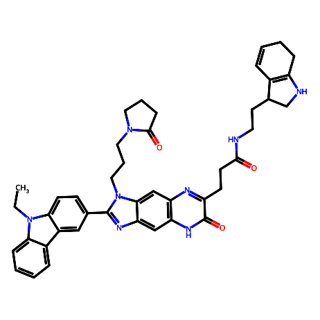 CCn1c2ccccc2c2cc(-c3nc4cc5[nH]c(=O)c(CCC(=O)NCCC6CNC7=C6C=CCC7)nc5cc4n3CCCN3CCCC3=O)ccc21